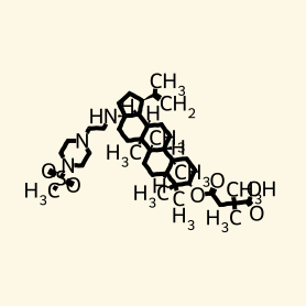 C=C(C)[C@@H]1CC[C@]2(NCCN3CCN(S(C)(=O)=O)CC3)CC[C@]3(C)[C@H](CC[C@@H]4[C@@]5(C)CC[C@H](OC(=O)CC(C)(C)C(=O)O)C(C)(C)[C@@H]5CC[C@]43C)[C@@H]12